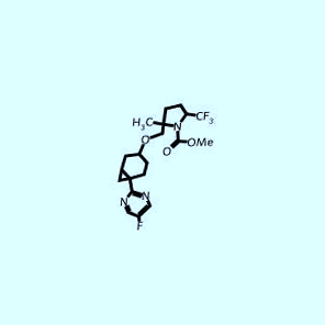 COC(=O)N1C(C(F)(F)F)CCC1(C)COC1CCC2(c3ncc(F)cn3)CC2C1